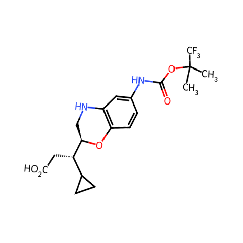 CC(C)(OC(=O)Nc1ccc2c(c1)NC[C@H]([C@@H](CC(=O)O)C1CC1)O2)C(F)(F)F